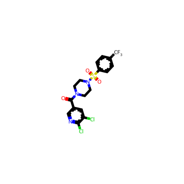 O=C(c1cnc(Cl)c(Cl)c1)N1CCN(S(=O)(=O)c2ccc(C(F)(F)F)cc2)CC1